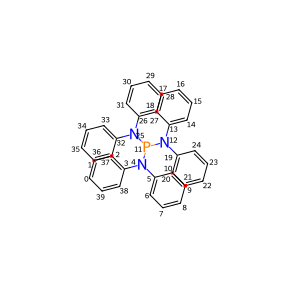 c1ccc(N(c2ccccc2)P(N(c2ccccc2)c2ccccc2)N(c2ccccc2)c2ccccc2)cc1